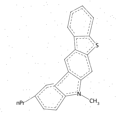 CCCc1ccc2c(c1)c1cc3c(cc1n2C)sc1ccccc13